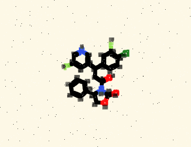 O=C(CC(c1cncc(F)c1)c1ccc(Cl)c(F)c1)N1C(=O)OC[C@H]1c1ccccc1